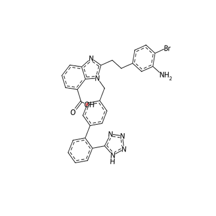 Nc1cc(CCc2nc3cccc(C(=O)O)c3n2Cc2ccc(-c3ccccc3-c3nnn[nH]3)cc2)ccc1Br